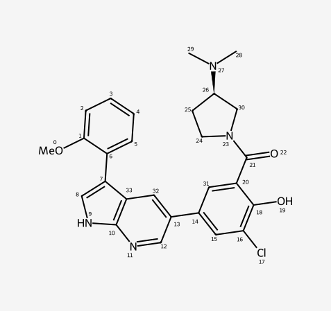 COc1ccccc1-c1c[nH]c2ncc(-c3cc(Cl)c(O)c(C(=O)N4CC[C@@H](N(C)C)C4)c3)cc12